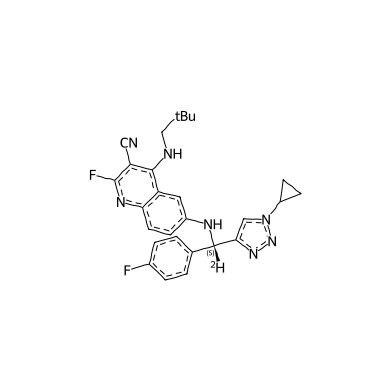 [2H][C@](Nc1ccc2nc(F)c(C#N)c(NCC(C)(C)C)c2c1)(c1ccc(F)cc1)c1cn(C2CC2)nn1